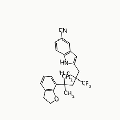 CC(C)(CC(C)(Cc1cc2cc(C#N)ccc2[nH]1)C(F)(F)F)c1cccc2c1OCC2